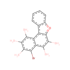 Bc1c(B)c(B)c2c(c(B)c(B)c3oc4ccccc4c32)c1Br